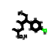 CC(CC(C)S(=O)(=O)O)=C(CC(C)C)c1ccc(Cl)cc1